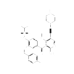 CNc1c(C#CC2CCNCC2)cnc(N)c1C(=N)c1ccc(NS(=O)(=O)C(F)F)c(O[C@@H](C)c2ccc(F)cc2)c1